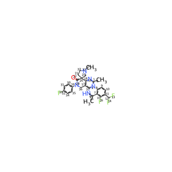 Cc1nc(N[C@H](C)c2cccc(C(F)F)c2F)c2c(n1)C1(CCN(C)C1)C(=O)N(c1ccc(F)cc1)C2